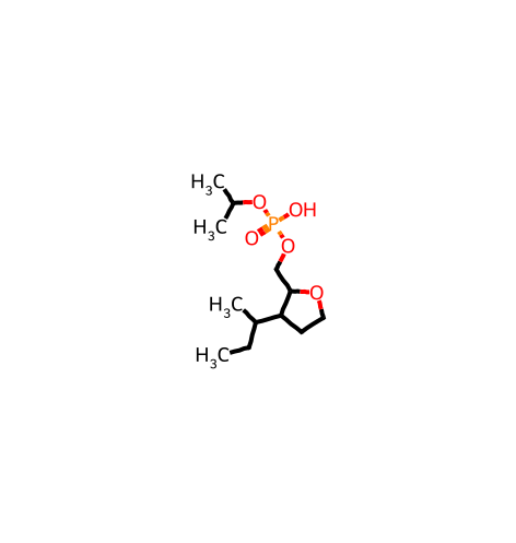 CCC(C)C1CCOC1COP(=O)(O)OC(C)C